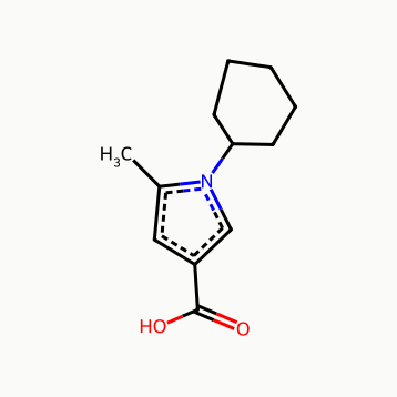 Cc1cc(C(=O)O)cn1C1CCCCC1